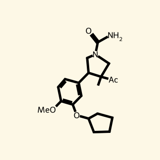 COc1ccc(C2CN(C(N)=O)CC2(C)C(C)=O)cc1OC1CCCC1